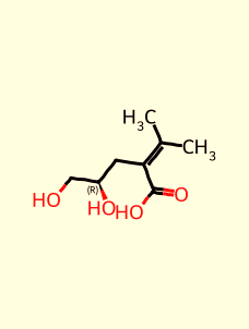 CC(C)=C(C[C@@H](O)CO)C(=O)O